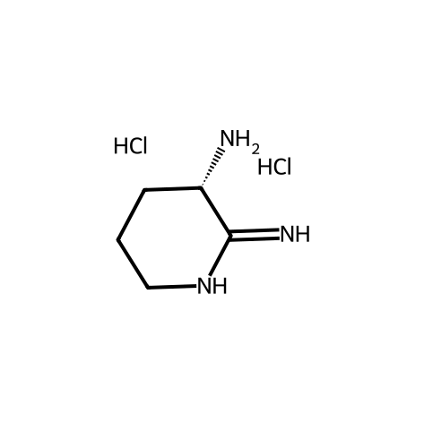 Cl.Cl.N=C1NCCC[C@@H]1N